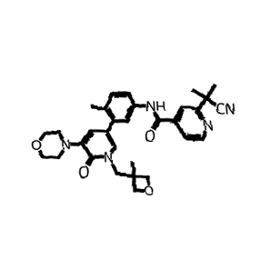 Cc1ccc(NC(=O)c2ccnc(C(C)(C)C#N)c2)cc1-c1cc(N2CCOCC2)c(=O)n(CC2(C)COC2)c1